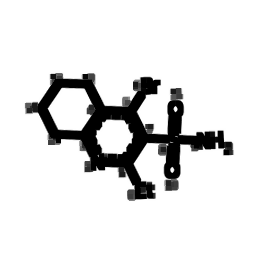 CCc1nc2c(c(Br)c1S(N)(=O)=O)CCCC2